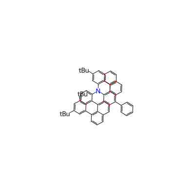 CC(C)(C)c1cc(-c2cccc3cccc(-c4ccccc4N(c4ccc(-c5ccccc5)cc4-c4ccccc4)c4cc(C(C)(C)C)ccc4-c4ccccc4)c23)cc(C(C)(C)C)c1